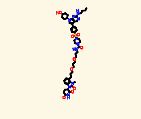 CCCCNc1ncc2c(-c3ccc(S(=O)(=O)N4CCN(C(=O)NCCCOCCCOCCCc5cccc6c5n(C)c(=O)n6C5CCC(=O)NC5=O)CC4)cc3)cn([C@H]3CC[C@H](O)CC3)c2n1